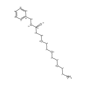 NCCOCCOCCOCCC(=O)OCc1ccccc1